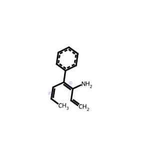 C=C/C(N)=C(\C=C/C)c1ccccc1